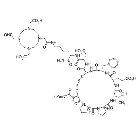 CCCCCC(=O)N[C@H]1CSSC[C@@H](C(=O)N[C@@H](CC(=O)O)C(=O)N[C@@H](CCCCNC(=O)CN2CCN(CC(=O)O)CCN(CC=O)CCN(CC(=O)O)CC2)C(N)=O)NC(=O)[C@H](Cc2ccccc2)NC(=O)[C@H](CCC(=O)O)NC(=O)[C@H]([C@@H](C)O)NC(=O)[C@@H]2CCCN2C(=O)[C@@H]2CCCN2C1=O